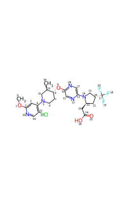 COc1cc(N2CC[C@@H](Oc3cnc(N4C[C@H](C(F)(F)F)C[C@H]4CC(=O)O)cn3)[C@H](C)C2)c(Cl)cn1